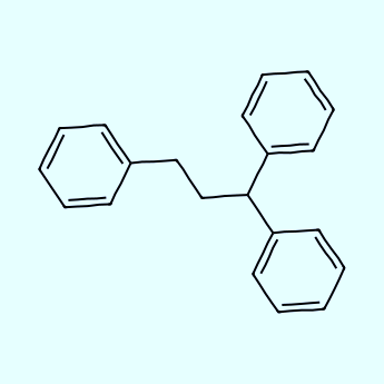 c1ccc(CCC(c2ccccc2)c2ccccc2)cc1